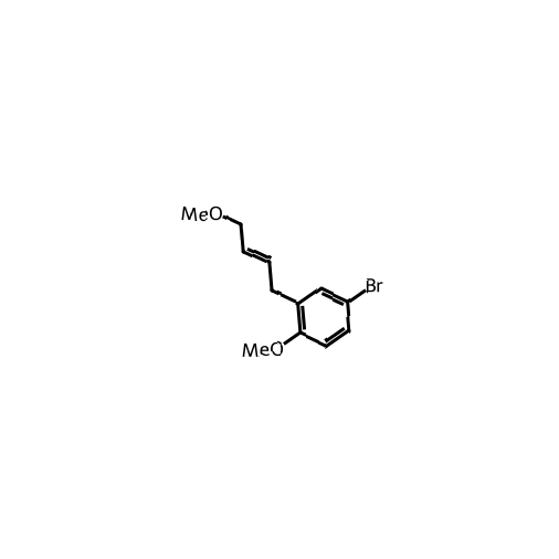 COCC=CCc1cc(Br)ccc1OC